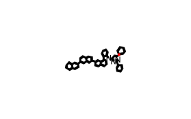 c1ccc(-c2cc(-n3c4ccccc4c4c5cc(-c6ccc7ccc(-c8ccc9ccccc9c8)cc7c6)ccc5ccc43)nc(-c3ccccc3)n2)cc1